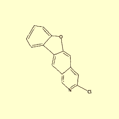 Clc1cc2cc3oc4ccccc4c3cc2cn1